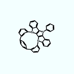 c1ccc(-n2c3c4ccccc4n4c5cccc(c5)c5ccc(cc5)c5cccc(c5)n5c6ccccc6c2c5c34)cc1